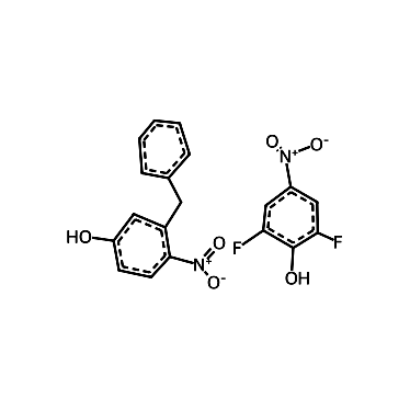 O=[N+]([O-])c1cc(F)c(O)c(F)c1.O=[N+]([O-])c1ccc(O)cc1Cc1ccccc1